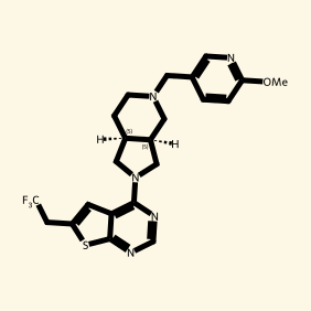 COc1ccc(CN2CC[C@@H]3CN(c4ncnc5sc(CC(F)(F)F)cc45)C[C@@H]3C2)cn1